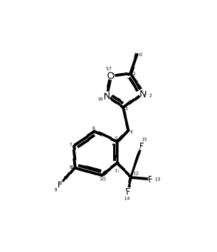 Cc1nc(Cc2ccc(F)cc2C(F)(F)F)no1